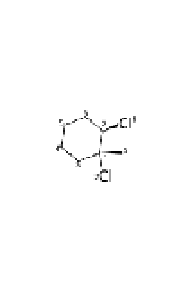 C[C@@]1(Cl)CCCC[C@H]1Cl